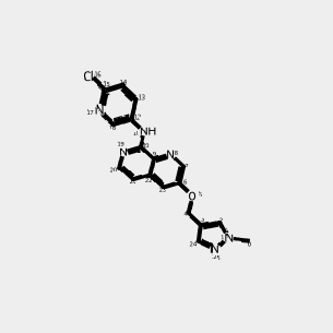 Cn1cc(COc2cnc3c(Nc4ccc(Cl)nc4)nccc3c2)cn1